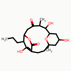 CCCC1C(O)=C2CCC3(C)CC(O)CC(O3)C(O)C(C)C(=O)CC1OC2=O